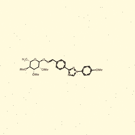 COc1ccc(-n2cnc(-c3ccc(/C=N/O[C@@H]4O[C@@H](C)[C@H](OC)[C@@H](OC)[C@H]4OC)cc3)n2)cc1